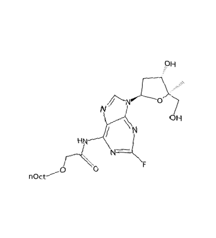 CCCCCCCCOCC(=O)Nc1nc(F)nc2c1ncn2[C@H]1C[C@H](O)[C@@](C)(CO)O1